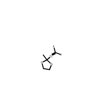 C[C]1([Cf]=[C](F)F)OCCO1